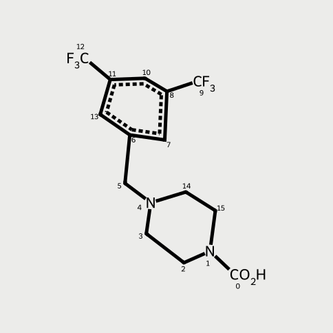 O=C(O)N1CCN(Cc2cc(C(F)(F)F)cc(C(F)(F)F)c2)CC1